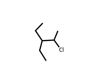 CCC(CC)C(C)Cl